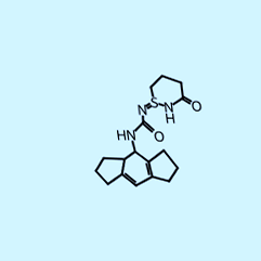 O=C1CCC/S(=N/C(=O)NC2C3=C(C=C4CCCC42)CCC3)N1